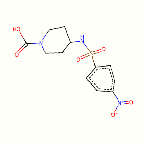 O=C(O)N1CCC(NS(=O)(=O)c2ccc([N+](=O)[O-])cc2)CC1